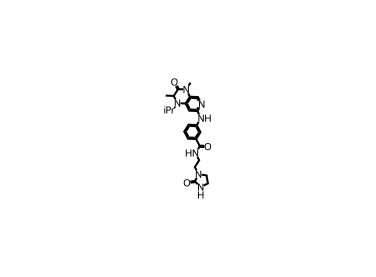 CC(C)N1c2cc(Nc3cccc(C(=O)NCCN4CCNC4=O)c3)ncc2N(C)C(=O)C1C